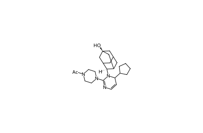 CC(=O)N1CCN(C2=NC=CC(C3CCCC3)N2[C@H]2C3CC4CC2C[C@@](O)(C4)C3)CC1